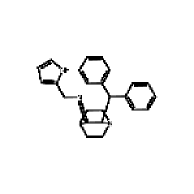 c1ccc(C(c2ccccc2)C2C(=NCc3ccc[nH]3)C3CCN2CC3)cc1